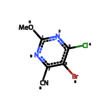 COc1nc(Cl)c(Br)c(C#N)n1